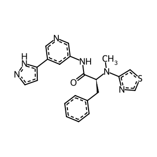 CN(c1cscn1)[C@@H](Cc1ccccc1)C(=O)Nc1cncc(-c2ccn[nH]2)c1